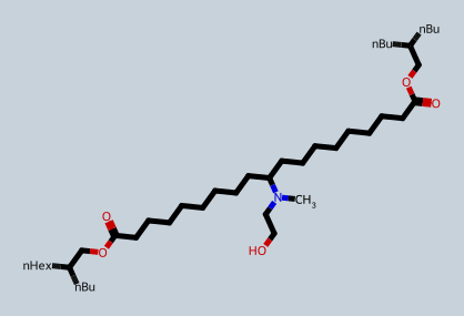 CCCCCCC(CCCC)COC(=O)CCCCCCCCC(CCCCCCCCC(=O)OCC(CCCC)CCCC)N(C)CCO